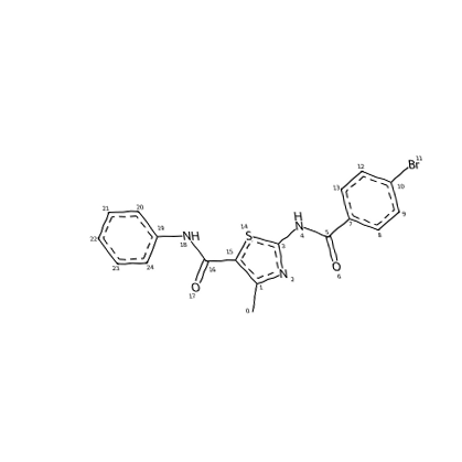 Cc1nc(NC(=O)c2ccc(Br)cc2)sc1C(=O)Nc1ccccc1